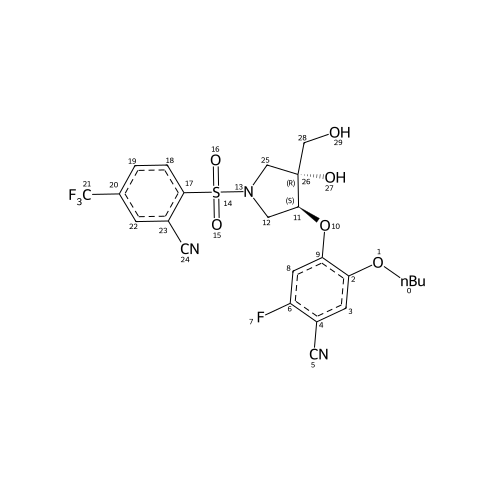 CCCCOc1cc(C#N)c(F)cc1O[C@H]1CN(S(=O)(=O)c2ccc(C(F)(F)F)cc2C#N)C[C@@]1(O)CO